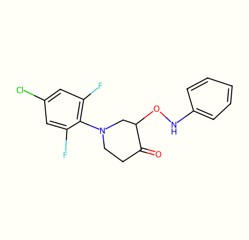 O=C1CCN(c2c(F)cc(Cl)cc2F)CC1ONc1ccccc1